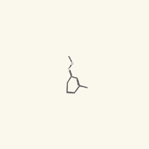 CON=C1C=C(C)CCC1